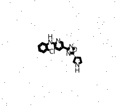 Clc1ccccc1Nc1ccc(-c2noc([C@@H]3CCNC3)n2)cn1